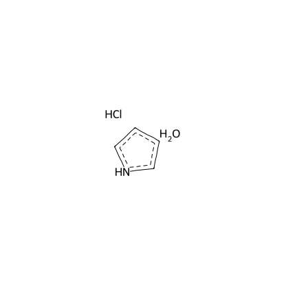 Cl.O.c1cc[nH]c1